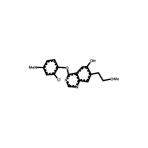 CNc1ccc(Oc2ncnc3cc(CCOC)c(O)cc23)c(Cl)c1